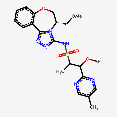 COC[C@H]1COc2ccccc2-c2nnc(NS(=O)(=O)C(C)C(OC(C)C)c3ncc(C)cn3)n21